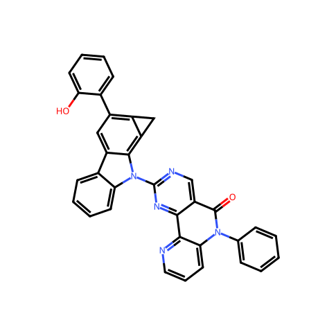 O=c1c2cnc(-n3c4ccccc4c4cc(-c5ccccc5O)c5c(c43)C5)nc2c2ncccc2n1-c1ccccc1